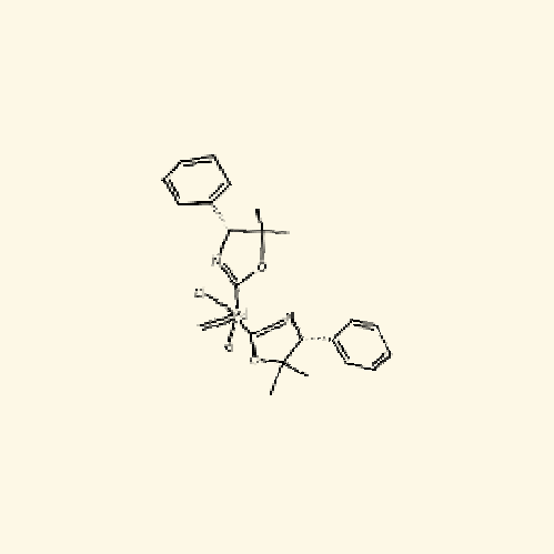 [CH2]=[Pd]([Cl])([Cl])([C]1=N[C@H](c2ccccc2)C(C)(C)O1)[C]1=N[C@H](c2ccccc2)C(C)(C)O1